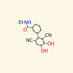 CCNC(=O)c1cccc(-c2c(C#N)cc(O)c(O)c2C#N)c1